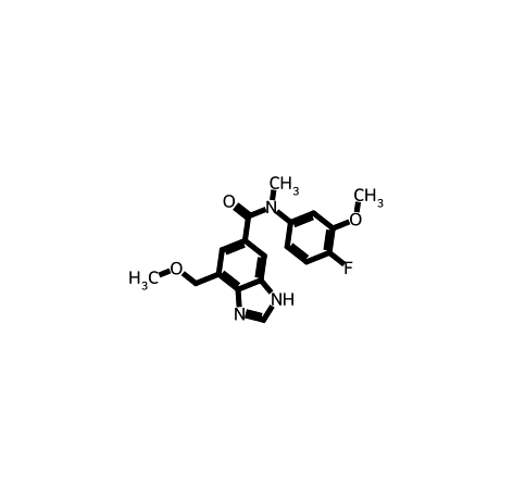 COCc1cc(C(=O)N(C)c2ccc(F)c(OC)c2)cc2[nH]cnc12